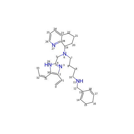 C=Cc1nc(CN(CCCCNCC2=CCCC=C2)C2CCCc3cccnc32)[nH]c1/C=C\C